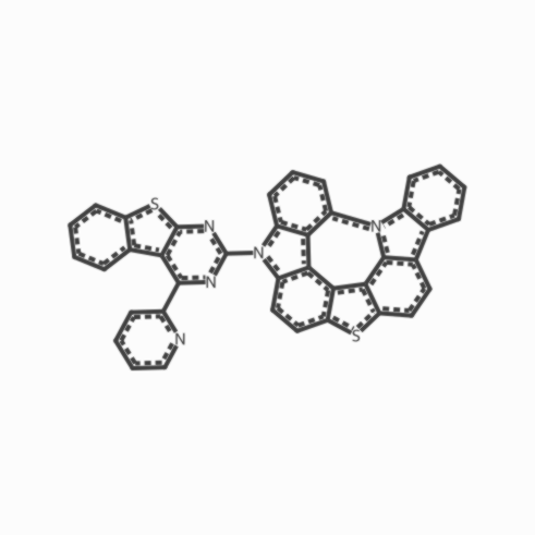 c1ccc(-c2nc(-n3c4ccc5sc6ccc7c8ccccc8n8c9cccc3c9c4c5c6c78)nc3sc4ccccc4c23)nc1